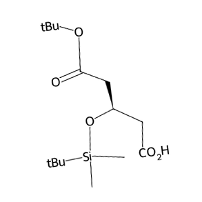 CC(C)(C)OC(=O)C[C@@H](CC(=O)O)O[Si](C)(C)C(C)(C)C